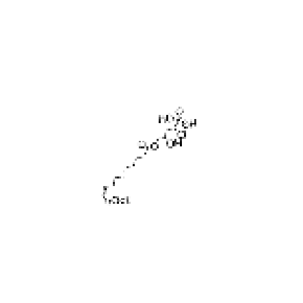 CCCCCCCC/C=C\CCCCCCCC(=O)OC[C@@H](O)CC(Cl)P(=O)(O)O